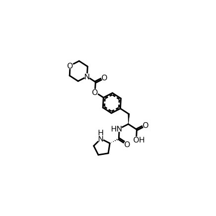 O=C(O)[C@H](Cc1ccc(OC(=O)N2CCOCC2)cc1)NC(=O)[C@@H]1CCCN1